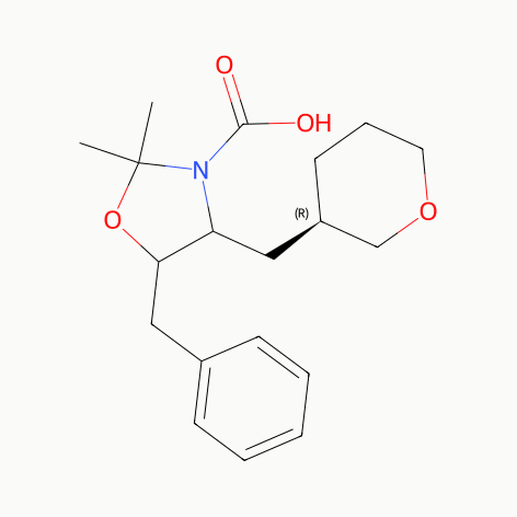 CC1(C)OC(Cc2ccccc2)C(C[C@H]2CCCOC2)N1C(=O)O